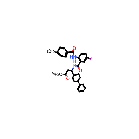 COC(=O)CC(NC(=O)c1cc(I)ccc1NC(=O)c1ccc(C(C)(C)C)cc1)c1ccc(-c2ccccc2)cc1